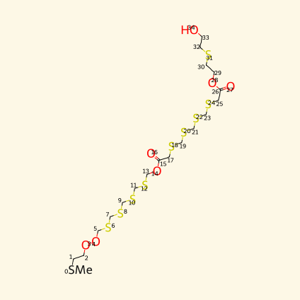 CSCCOOCSCSCSCSCOC(=O)CSCSCSCSCC(=O)OCCSCCO